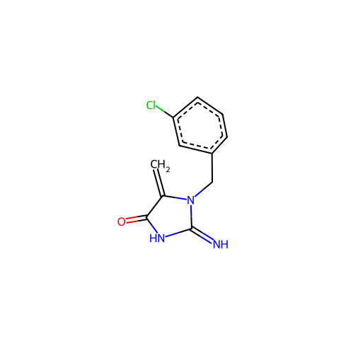 C=C1C(=O)NC(=N)N1Cc1cccc(Cl)c1